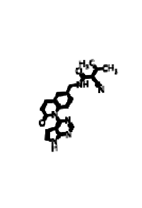 CC(C)C(C#N)C(=O)NCc1ccc2c(ccc(=O)n2-c2ncnc3[nH]ccc23)c1